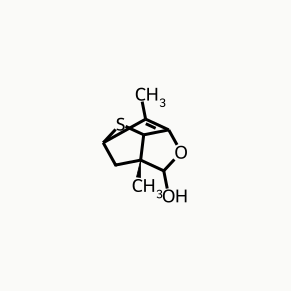 CC1=C2OC(O)[C@]3(C)CC1SC23